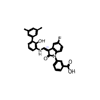 Cc1cc(C)cc(-c2cccc(N/C=C3\C(=O)N(c4cccc(C(=O)O)c4)c4ccc(F)cc43)c2O)c1